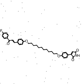 O=C1C=C(c2ccc(OCCCCCCCCCCCCOc3ccc(C=CC(=O)c4ccc(F)cc4)cc3)cc2)C(=O)N1